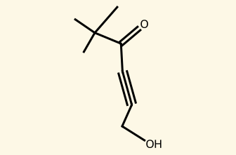 CC(C)(C)C(=O)C#CCO